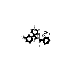 COc1cccc(O)c1C(=O)NCC1(c2cccc(Cl)c2)CCNCC1